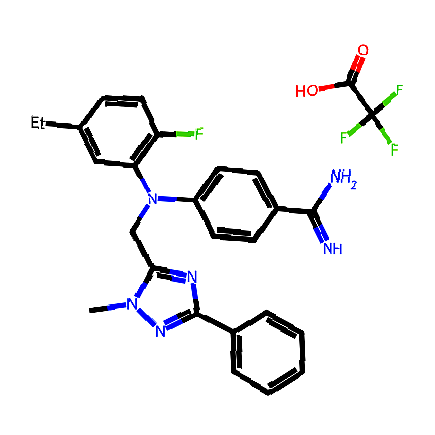 CCc1ccc(F)c(N(Cc2nc(-c3ccccc3)nn2C)c2ccc(C(=N)N)cc2)c1.O=C(O)C(F)(F)F